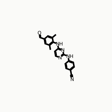 Cc1cc(C=O)cc(C)c1Nc1ccnc(Nc2ccc(C#N)cc2)n1